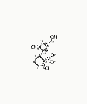 O=[N+]([O-])c1c(Cl)cccc1-c1nn(CO)cc1Cl